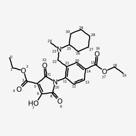 CCOC(=O)C1=C(O)C(=O)N(c2ccc(C(=O)OCC)cc2CN(C)C2CCCCC2)C1=O